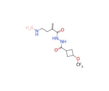 BNCCC(=C)C(=O)NNC(=O)C1CC(OC(F)(F)F)C1